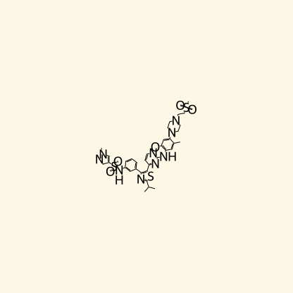 COc1cc(N2CCN(CCS(C)(=O)=O)CC2)c(C)cc1Nc1nccc(-c2sc(C(C)C)nc2-c2cccc(NS(=O)(=O)c3cnn(C)c3)c2)n1